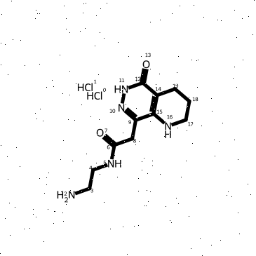 Cl.Cl.NCCNC(=O)Cc1n[nH]c(=O)c2c1NCCC2